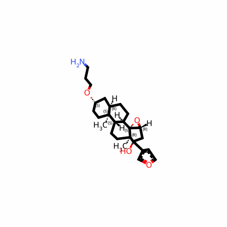 C[C@]12CC[C@H](OCCCN)C[C@H]1CC[C@@H]1[C@@H]2CC[C@@]2(C)[C@@]13O[C@@H]3C[C@]2(O)c1ccoc1